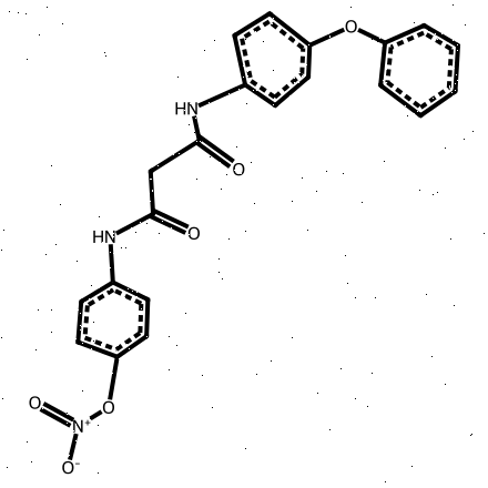 O=C(CC(=O)Nc1ccc(O[N+](=O)[O-])cc1)Nc1ccc(Oc2ccccc2)cc1